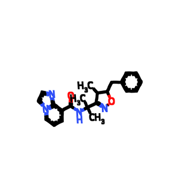 CC1C(C(C)(C)NC(=O)c2cccn3ccnc23)=NOC1Cc1ccccc1